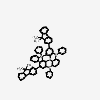 CC1(C)c2ccccc2-c2ccc(-c3cc4c5c(c3)[Si](c3ccccc3)(c3ccccc3)c3cc(-c6ccc7c(c6)C(C)(C)c6ccccc6-7)cc6c3N5c3c(cccc3B6c3ccccc3)B4c3ccccc3)cc21